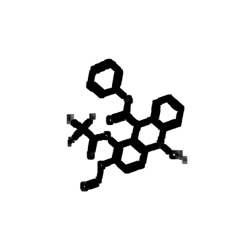 CN1c2ccccc2C(C(=O)Oc2ccccc2)c2c1ccc(OP=O)c2OC(=O)C(F)(F)F